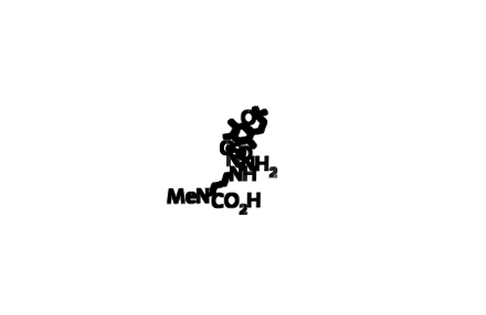 CN[C@@H](CCCN/C(N)=N/S(=O)(=O)c1c(C)c(C)c2c(c1C)CCC(C)(C)O2)C(=O)O